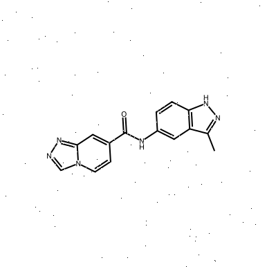 Cc1n[nH]c2ccc(NC(=O)c3ccn4cnnc4c3)cc12